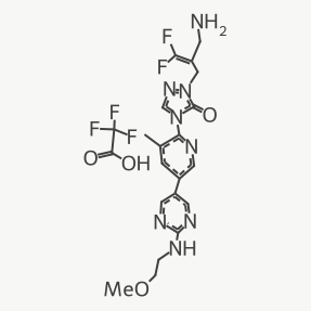 COCCNc1ncc(-c2cnc(-n3cnn(CC(CN)=C(F)F)c3=O)c(C)c2)cn1.O=C(O)C(F)(F)F